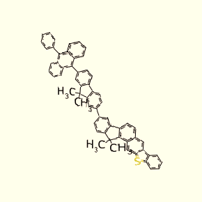 CC1(C)c2cc(-c3ccc4c(c3)-c3ccc5cc6c(cc5c3C4(C)C)sc3ccccc36)ccc2-c2ccc(-c3c4ccccc4c(-c4ccccc4)c4ccccc34)cc21